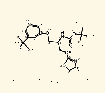 CC(C)(C)OC(=O)N[C@@H](COC1=NCCS1)COc1cncc(C(C)(C)C)c1